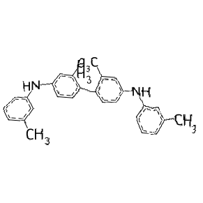 Cc1cccc(Nc2ccc(-c3ccc(Nc4cccc(C)c4)cc3C)c(C)c2)c1